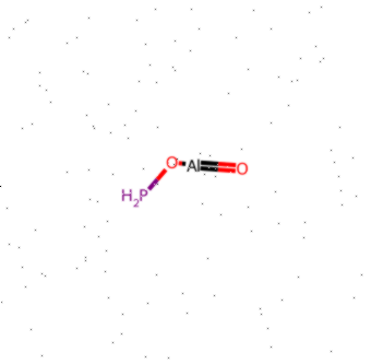 [O]=[Al][O]P